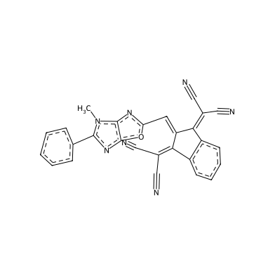 Cn1c(-c2ccccc2)nc2oc(C=C3C(=C(C#N)C#N)c4ccccc4C3=C(C#N)C#N)nc21